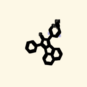 C#C/C=C\C(=C/C)C1=C2C(=C(c3ccccc3)C1=O)c1cccc3cccc2c13